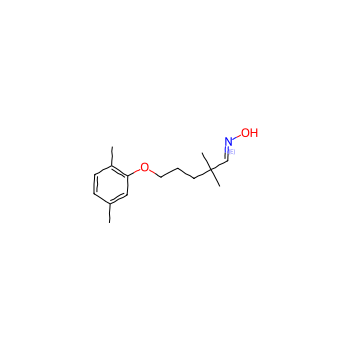 Cc1ccc(C)c(OCCCC(C)(C)/C=N/O)c1